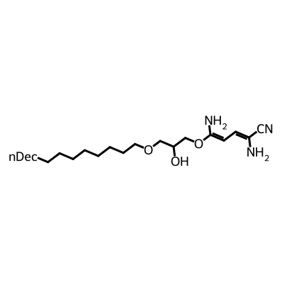 CCCCCCCCCCCCCCCCCCOCC(O)CO/C(N)=C/C=C(\N)C#N